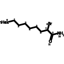 CCCCCCCCCCCCC(Br)C(N)=O